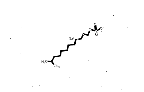 CC(C)CCCCCCCCCCOS(=O)(=O)[O-].[Na+]